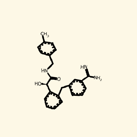 Cc1ccc(CNC(=O)[C@H](O)c2ccccc2Cc2cccc(C(=N)N)c2)cc1